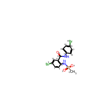 CS(=O)(=O)Nc1ccc(Br)cc1C(=O)Nc1ccc(Br)cc1